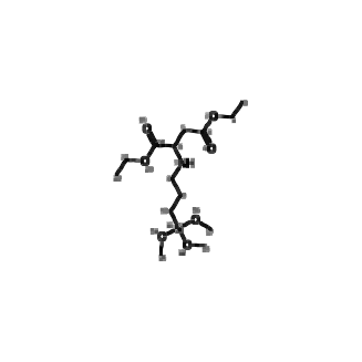 CCOC(=O)CC(NCCC[Si](OC)(OC)OC)C(=O)OCC